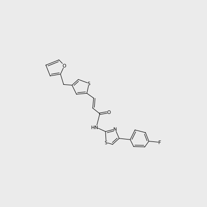 O=C(C=Cc1cc(Cc2ccco2)cs1)Nc1nc(-c2ccc(F)cc2)cs1